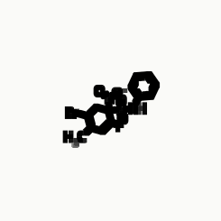 CC1=C(Br)CC([N+](=O)[O-])(S(=O)(=O)Nc2ccccc2)C(F)=C1